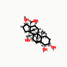 C[C@]12CC[C@H](O)[C@H](O)C1=C[C@H](O)[C@H]1[C@@H]3CC[C@H](O)[C@@]3(CO)CC[C@@H]12